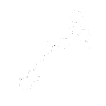 O=C(O)[C@H](c1cc(F)ccc1C1CCOCC1)N1CC[C@@H](C(F)CCCCc2ccc3c(n2)NCCC3)C1